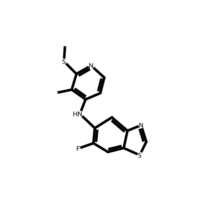 CSc1nccc(Nc2cc3ncsc3cc2F)c1C